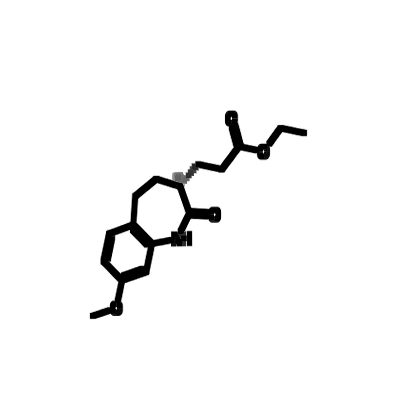 CCOC(=O)CC[C@H]1CCc2ccc(OC)cc2NC1=O